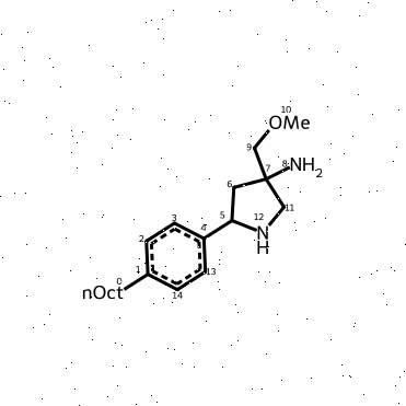 CCCCCCCCc1ccc(C2CC(N)(COC)CN2)cc1